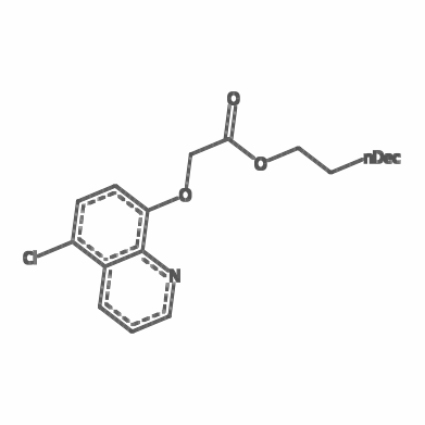 CCCCCCCCCCCCOC(=O)COc1ccc(Cl)c2cccnc12